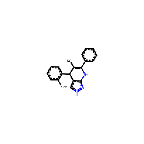 CSc1ccccc1C1C(C#N)=C(c2ccccc2)Nc2n[nH]cc21